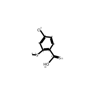 CSc1cc(Cl)ccc1C(O)=S